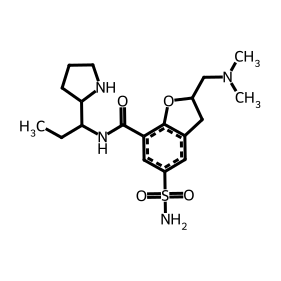 CCC(NC(=O)c1cc(S(N)(=O)=O)cc2c1OC(CN(C)C)C2)C1CCCN1